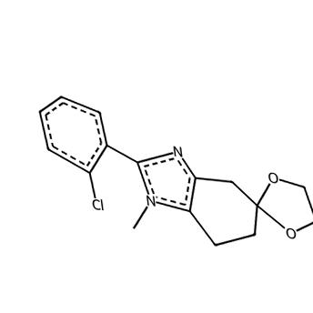 Cn1c(-c2ccccc2Cl)nc2c1CCC1(C2)OCCO1